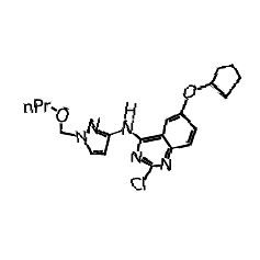 CCCOCn1ccc(Nc2nc(Cl)nc3ccc(OC4CCCC4)cc23)n1